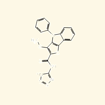 COc1c(C(=O)Nc2nnn[nH]2)oc2c3ccccc3n(-c3ccccc3)c12